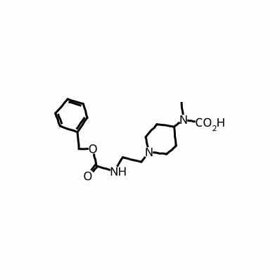 CN(C(=O)O)C1CCN(CCNC(=O)OCc2ccccc2)CC1